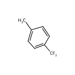 Cc1ccc(C(F)(F)F)cc1